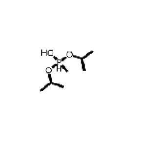 CC(C)O[PH](C)(O)OC(C)C